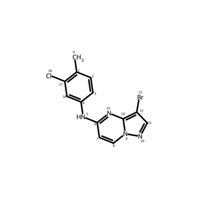 Cc1ccc(Nc2ccn3ncc(Br)c3n2)cc1Cl